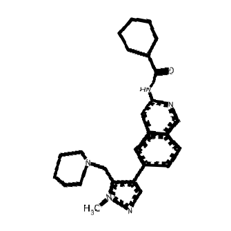 Cn1ncc(-c2ccc3cnc(NC(=O)C4CCCCC4)cc3c2)c1CN1CCCCC1